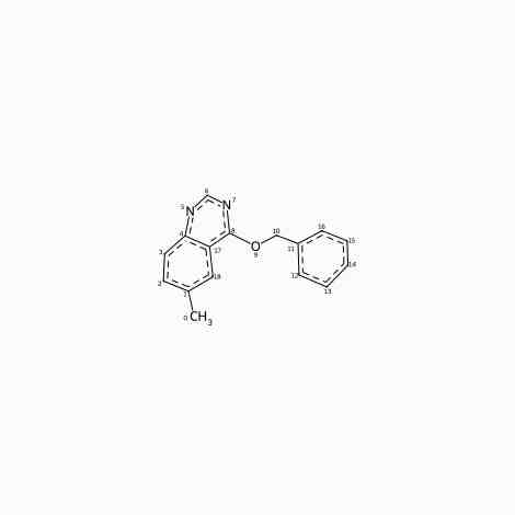 Cc1ccc2ncnc(OCc3ccccc3)c2c1